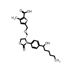 CCCCCC(O)c1ccc(N2C(=O)OC[C@@H]2COCc2cc(C)c(C(=O)O)s2)cc1